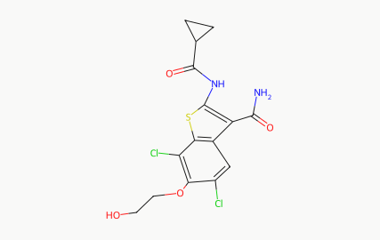 NC(=O)c1c(NC(=O)C2CC2)sc2c(Cl)c(OCCO)c(Cl)cc12